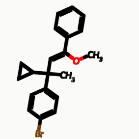 COC(=CC(C)(c1ccc(Br)cc1)C1CC1)c1ccccc1